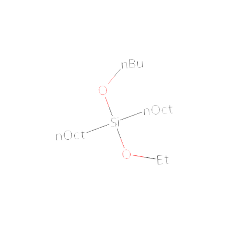 CCCCCCCC[Si](CCCCCCCC)(OCC)OCCCC